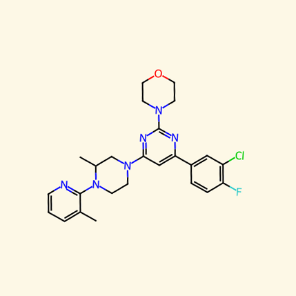 Cc1cccnc1N1CCN(c2cc(-c3ccc(F)c(Cl)c3)nc(N3CCOCC3)n2)CC1C